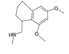 CNCC1CCCc2cc(OC)cc(OC)c21